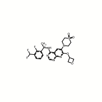 C[C@@H](Nc1ncnc2nc(OC3COC3)c(N3CCS(=O)(=O)CC3)cc12)c1cccc(C(F)F)c1F